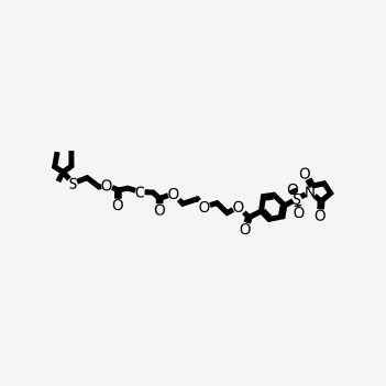 CCC(C)(CC)SCCOC(=O)CCCC(=O)OCCOCCOC(=O)c1ccc(S(=O)(=O)N2C(=O)CCC2=O)cc1